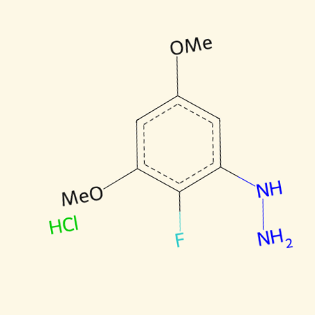 COc1cc(NN)c(F)c(OC)c1.Cl